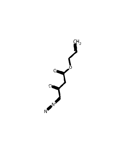 C=CCOC(=O)CC(=O)C=[N+]=[N-]